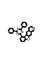 c1ccc(-c2nc(-c3ccccc3)nc(-c3cccc4oc5cc6cnccc6cc5c34)n2)cc1